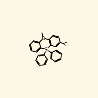 CB1c2ccccc2[Si](c2ccccc2)(c2ccccc2)c2cc(Cl)ccc21